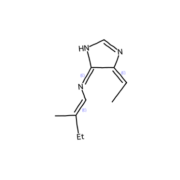 C/C=C1/N=CN/C1=N/C=C(\C)CC